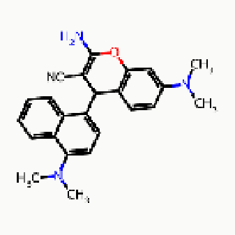 CN(C)c1ccc2c(c1)OC(N)=C(C#N)C2c1ccc(N(C)C)c2ccccc12